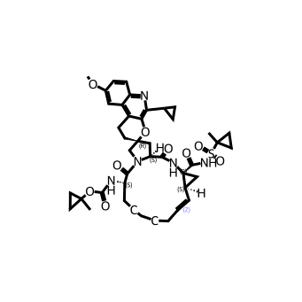 COc1ccc2nc(C3CC3)c3c(c2c1)CC[C@]1(C[C@H]2C(=O)N[C@]4(C(=O)NS(=O)(=O)C5(C)CC5)C[C@H]4/C=C\CCCCC[C@H](NC(=O)OC4(C)CC4)C(=O)N2C1)O3